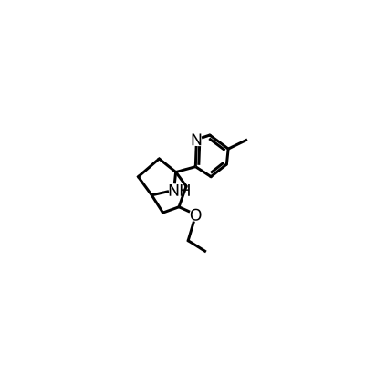 CCOC1CC2CCC(c3ccc(C)cn3)(C1)N2